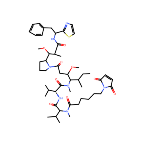 CCC(C)C(C(CC(=O)N1CCCC1C(OC)C(C)C(=O)NC(Cc1ccccc1)c1nccs1)OC)N(C)C(=O)[C@@H](NC(=O)C(C(C)C)N(C)C(=O)CCCCCN1C(=O)C=CC1=O)C(C)C